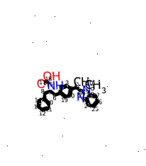 CC(c1ccc(CC(Cc2ccccc2)NC(=O)O)cc1)c1nc2ccccc2n1C